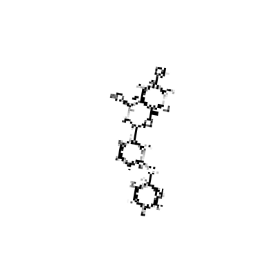 O=C1CC(c2cccc(Oc3ccccn3)c2)Oc2ccc(O)cc21